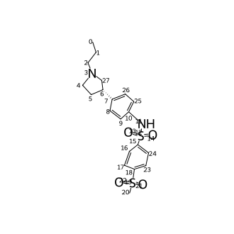 CCCN1CC[C@@H](c2ccc(NS(=O)(=O)c3ccc(S(C)(=O)=O)cc3)cc2)C1